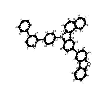 c1ccc(-c2ccnc(-c3ccc(-n4c5ccc(-c6ccc7oc8ccccc8c7c6)cc5c5c6ccccc6ccc54)cc3)c2)cc1